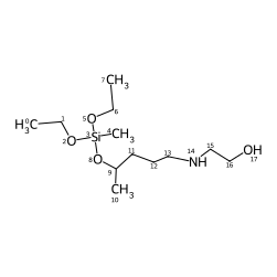 CCO[Si](C)(OCC)OC(C)CCCNCCO